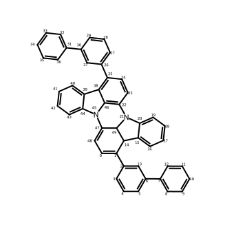 C1=C(c2cccc(-c3ccccc3)c2)C2c3ccccc3N3c4ccc(-c5cccc(-c6ccccc6)c5)c5c6ccccc6n(c45)C(=C1)C23